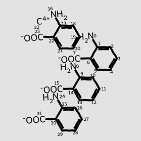 Nc1ccccc1C(=O)[O-].Nc1ccccc1C(=O)[O-].Nc1ccccc1C(=O)[O-].Nc1ccccc1C(=O)[O-].[C+4]